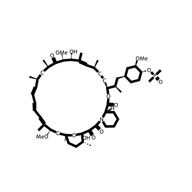 CO[C@H]1C[C@@H]2CC[C@@H](C)[C@@](O)(O2)C(=O)C(=O)N2CCCC[C@H]2C(=O)O[C@H]([C@H](C)C[C@@H]2CC[C@@H](OP(C)(C)=O)[C@H](OC)C2)CC[C@H](C)/C=C(\C)[C@@H](O)[C@@H](OC)C(=O)[C@H](C)C[C@H](C)/C=C/C=C/C=C/1C